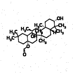 C[C@H](O)C[C@@H]1[C@@]2(C)CC[C@H](O)C(C)(C)[C@@H]2CC[C@@]1(C)[C@]1(C)CC[C@@]2(OC=O)CCC(C)(C)CC2C1